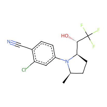 C[C@@H]1CC[C@H]([C@H](O)C(F)(F)F)N1c1ccc(C#N)c(Cl)c1